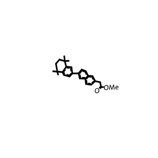 COC(=O)Cc1ccc2cc(-c3ccc4c(c3)C(C)(C)CCC4(C)C)ccc2c1